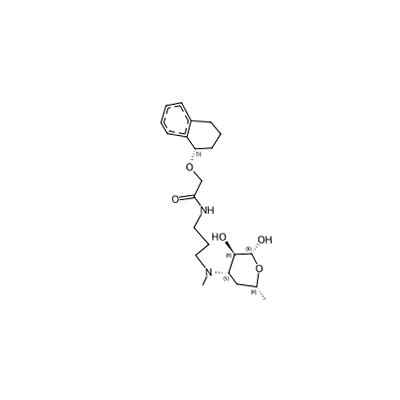 C[C@@H]1C[C@H](N(C)CCCNC(=O)CO[C@H]2CCCc3ccccc32)[C@@H](O)[C@H](O)O1